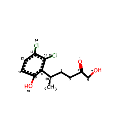 C[C@H](CCC(=O)CO)c1c(O)ccc(Cl)c1Cl